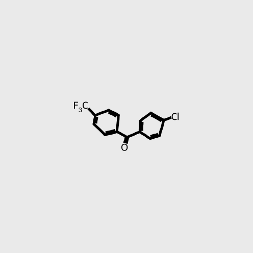 O=C(c1ccc(Cl)cc1)c1ccc(C(F)(F)F)cc1